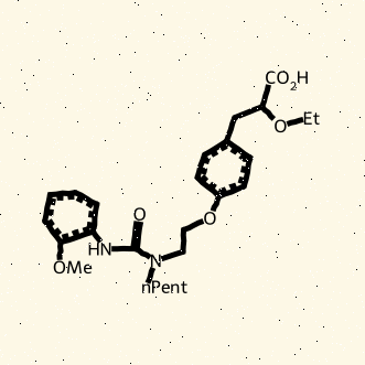 CCCCCN(CCOc1ccc(CC(OCC)C(=O)O)cc1)C(=O)Nc1ccccc1OC